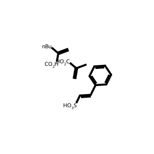 C=C(C)C(=O)O.C=C(CCCC)C(=O)O.O=S(=O)(O)C=Cc1ccccc1